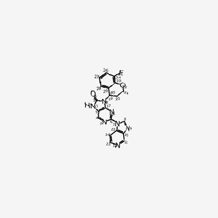 O=c1[nH]c2cnc(-n3cnc4cnccc43)nc2n1[C@@H]1CCOc2c(F)cccc21